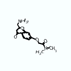 CN(C)C(=O)COc1ccc2c(=O)cc(CN)oc2c1